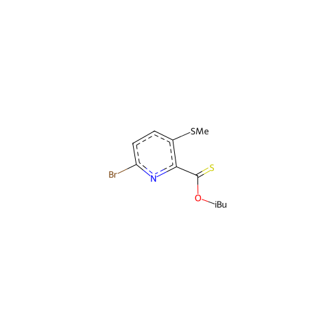 CCC(C)OC(=S)c1nc(Br)ccc1SC